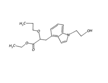 CCCOC(Cc1cccc2c1ccn2CCO)C(=O)OCC